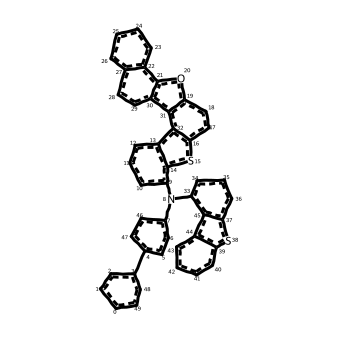 c1ccc(-c2ccc(N(c3cccc4c3sc3ccc5oc6c7ccccc7ccc6c5c34)c3cccc4sc5ccccc5c34)cc2)cc1